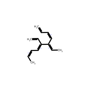 C=C\C=C/C(=C\C)C(/C=C)=C/C=C\C